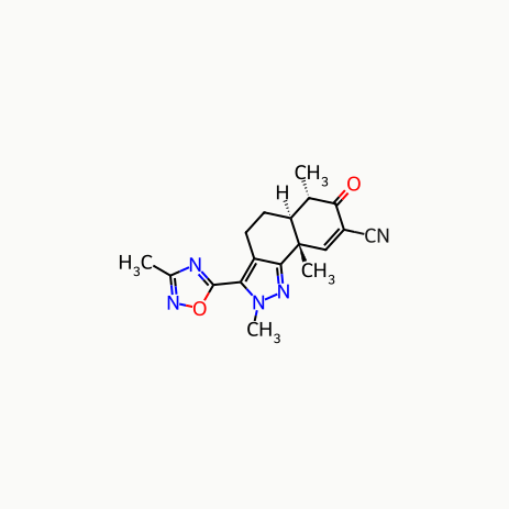 Cc1noc(-c2c3c(nn2C)[C@@]2(C)C=C(C#N)C(=O)[C@@H](C)[C@@H]2CC3)n1